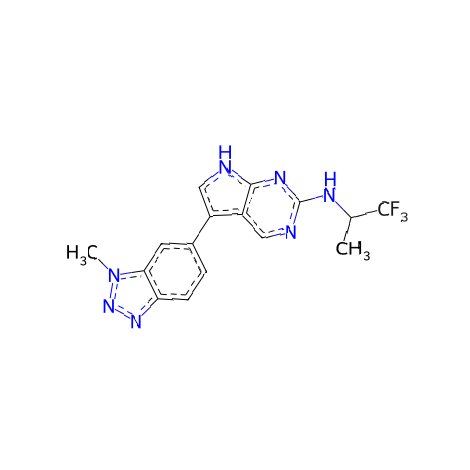 CC(Nc1ncc2c(-c3ccc4nnn(C)c4c3)c[nH]c2n1)C(F)(F)F